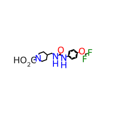 O=C(NCC1CCN(C(=O)O)CC1)Nc1ccc(OC(F)F)cc1